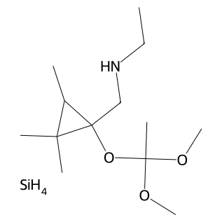 CCNCC1(OC(C)(OC)OC)C(C)C1(C)C.[SiH4]